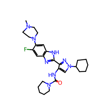 CN1CCN(c2cc3[nH]c(-c4nn(C5CCCCC5)cc4NC(=O)N4CCCCC4)nc3cc2F)CC1